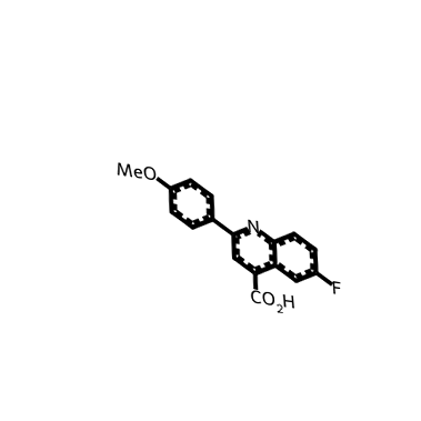 COc1ccc(-c2cc(C(=O)O)c3cc(F)ccc3n2)cc1